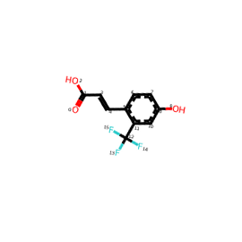 O=C(O)C=Cc1ccc(O)cc1C(F)(F)F